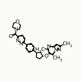 Cc1cc2nc(C)c(O[C@@H]3CCC(c4ccc(-c5ccc(C(=O)N6CCOCC6)nn5)cc4)C3)c(C)n2n1